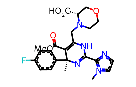 COC(=O)C1=C(CN2CCOC[C@H]2C(=O)O)NC(c2nccn2C)=N[C@@]1(C)c1ccc(F)cc1